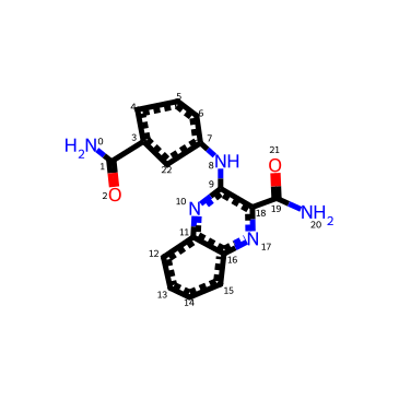 NC(=O)c1cccc(Nc2nc3ccccc3nc2C(N)=O)c1